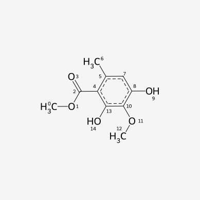 COC(=O)c1c(C)cc(O)c(OC)c1O